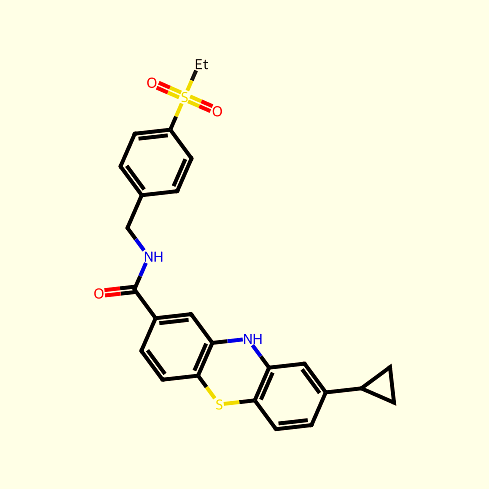 CCS(=O)(=O)c1ccc(CNC(=O)c2ccc3c(c2)Nc2cc(C4CC4)ccc2S3)cc1